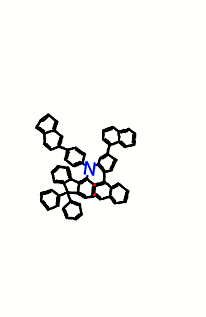 c1ccc(C2(c3ccccc3)c3ccccc3-c3c(N(c4ccc(-c5ccc6ccccc6c5)cc4)c4cc(-c5cccc6ccccc56)ccc4-c4cccc5ccccc45)cccc32)cc1